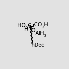 CCCCCCCCCCCCCCCCCC(=O)NC(CCC(=O)O)C(=O)O.[AlH3]